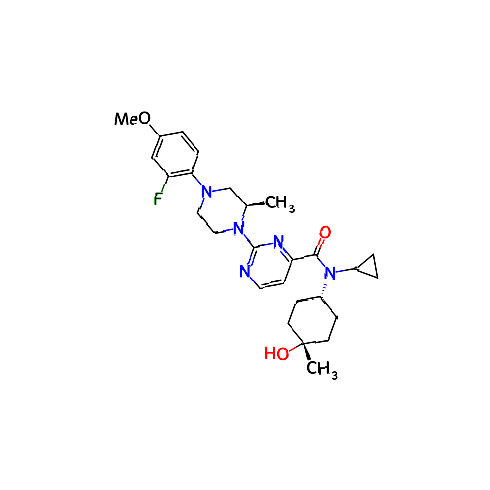 COc1ccc(N2CCN(c3nccc(C(=O)N(C4CC4)[C@H]4CC[C@@](C)(O)CC4)n3)[C@H](C)C2)c(F)c1